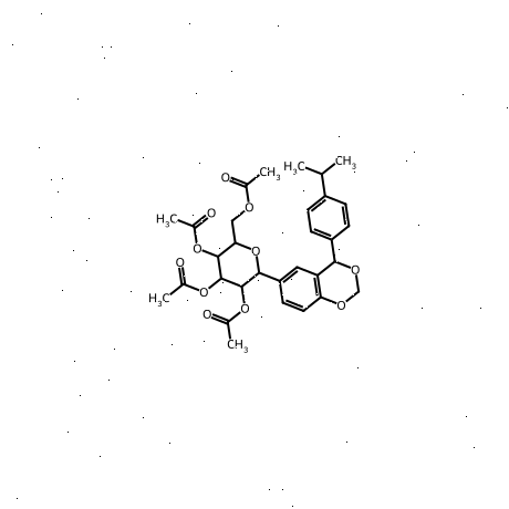 CC(=O)OCC1OC(c2ccc3c(c2)C(c2ccc(C(C)C)cc2)OCO3)C(OC(C)=O)C(OC(C)=O)C1OC(C)=O